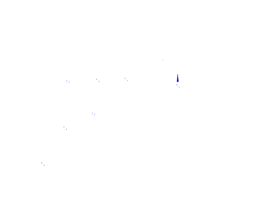 Nc1nc(N2CCC3(CC2)Cc2ccc(F)cc2[C@H]3N)cnc1C(=O)N1CCc2ncccc21